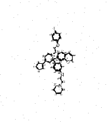 Ic1ccc(OCCN2CCC(C3CCCC3)CC2(c2ccc(OCCN3CCCCC3)cc2)c2ccc3c(c2)OCC=C3)cc1